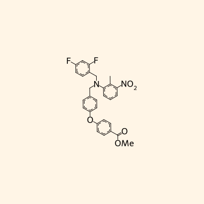 COC(=O)c1ccc(Oc2ccc(CN(Cc3ccc(F)cc3F)c3cccc([N+](=O)[O-])c3C)cc2)cc1